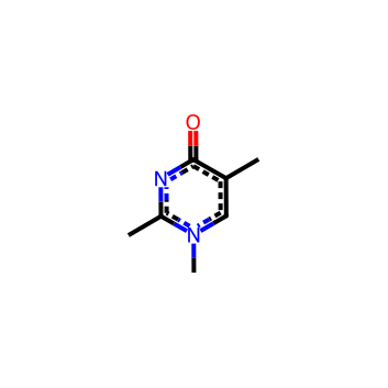 Cc1cn(C)c(C)nc1=O